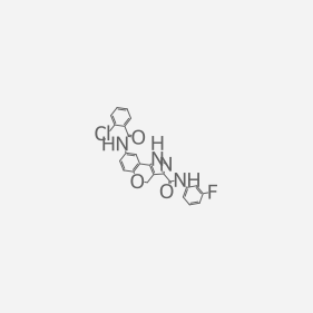 O=C(Nc1ccc2c(c1)-c1[nH]nc(C(=O)Nc3cccc(F)c3)c1CO2)c1ccccc1Cl